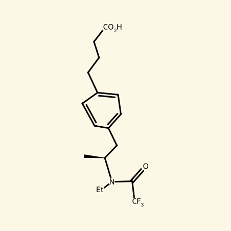 CCN(C(=O)C(F)(F)F)[C@@H](C)Cc1ccc(CCCC(=O)O)cc1